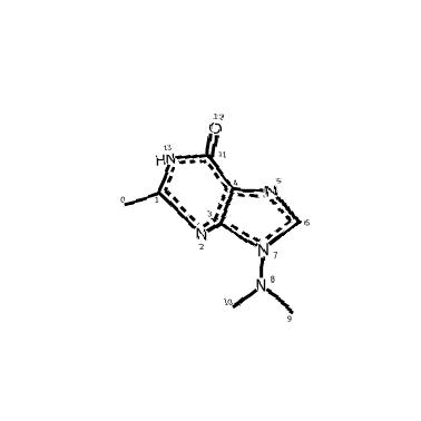 Cc1nc2c(ncn2N(C)C)c(=O)[nH]1